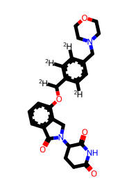 [2H]c1cc(CN2CCOCC2)c([2H])c([2H])c1C([2H])Oc1cccc2c1CN(C1CCC(=O)NC1=O)C2=O